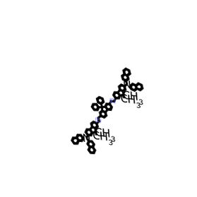 CC1(C)c2cc(/C=C/c3ccc4c(c3)C(c3ccccc3)(c3ccccc3)c3cc(/C=C/c5ccc6c(c5)C(C)(C)c5cc(N(c7ccc8ccccc8c7)c7ccc8ccccc8c7)ccc5-6)ccc3-4)ccc2-c2ccc(N(c3ccc4ccccc4c3)c3ccc4ccccc4c3)cc21